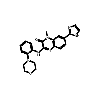 Cn1c(=O)c(Nc2ccccc2N2CCOCC2)nc2ccc(-c3ncc[nH]3)cc21